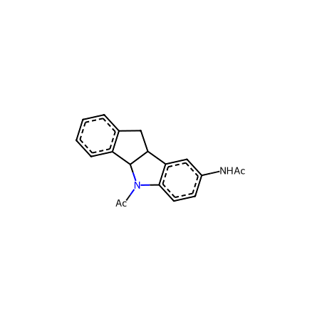 CC(=O)Nc1ccc2c(c1)C1Cc3ccccc3C1N2C(C)=O